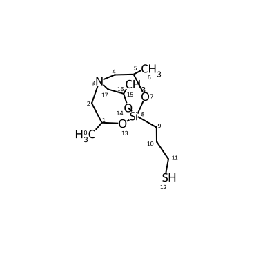 CC1CN2CC(C)O[Si](CCCS)(O1)OC(C)C2